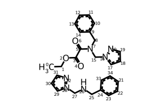 CCOC(=O)C(=O)N(Cc1ccccc1)Cn1cccn1.c1ccc(CNCn2cccn2)cc1